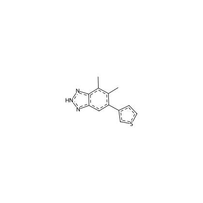 Cc1c(-c2ccsc2)cc2n[nH]nc2c1C